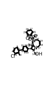 Cc1c(Cl)cccc1-c1ccc([C@@H]2[C@@H](CO)N3C/C=C\CN(S(=O)(=O)c4ccccc4C(F)(F)F)C[C@@H]23)cc1